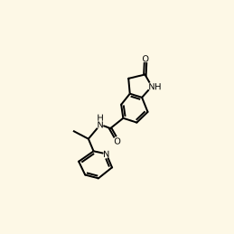 CC(NC(=O)c1ccc2c(c1)CC(=O)N2)c1ccccn1